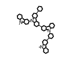 Cn1c2ccccc2c2cc(-c3cccc(-n4c5ccccc5c5cc(-c6ccc7c(c6)c6cc(-c8ccccc8)ccc6n7-c6ccc7c(c6)c6ccccc6n7C)ccc54)c3)ccc21